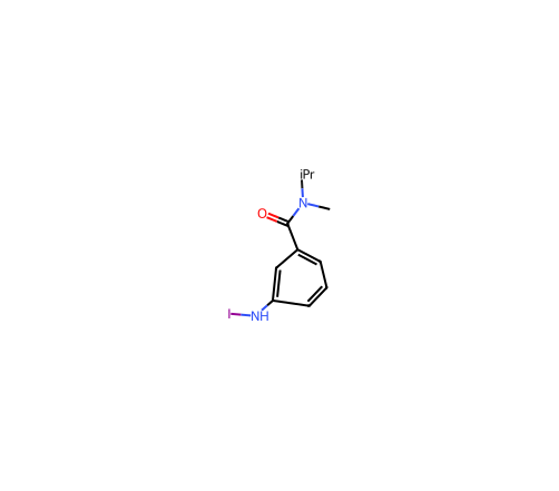 CC(C)N(C)C(=O)c1cccc(NI)c1